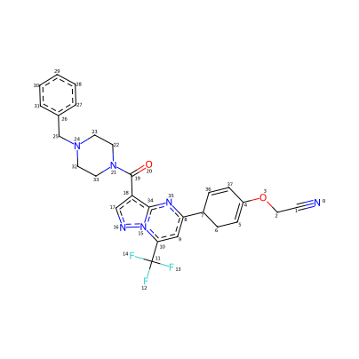 N#CCOC1=CCC(c2cc(C(F)(F)F)n3ncc(C(=O)N4CCN(Cc5ccccc5)CC4)c3n2)C=C1